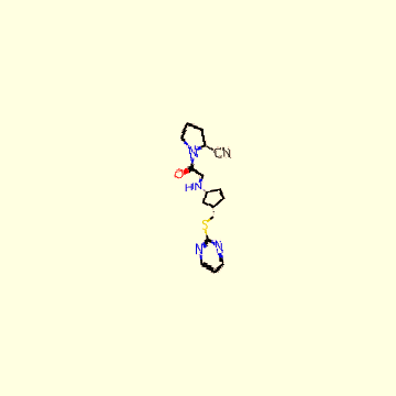 N#C[C@@H]1CCCN1C(=O)CN[C@@H]1CC[C@H](CSc2ncccn2)C1